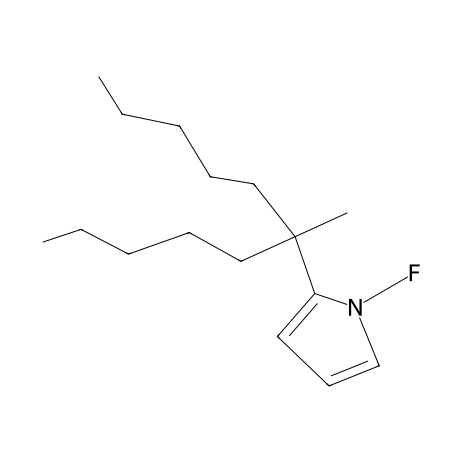 CCCCCC(C)(CCCCC)c1cccn1F